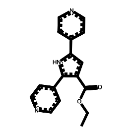 CCOC(=O)c1cc(-c2ccncc2)[nH]c1-c1ccncc1